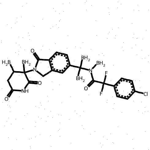 BC1CC(=O)NC(=O)C1(B)N1Cc2cc(C(B)(B)N(B)C(=O)C(F)(F)c3ccc(Cl)cc3)ccc2C1=O